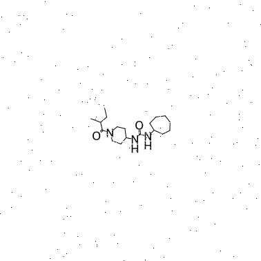 CCC(C)C(=O)N1CCC(NC(=O)NC2CCCCCC2)CC1